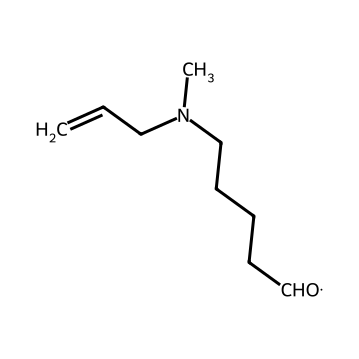 C=CCN(C)CCCC[C]=O